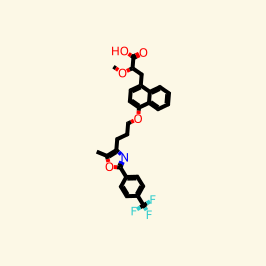 COC(Cc1ccc(OCCCc2nc(-c3ccc(C(F)(F)F)cc3)oc2C)c2ccccc12)C(=O)O